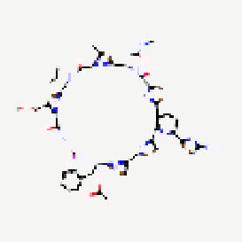 CNC(=O)C[C@@H]1NC(=O)c2csc(n2)-c2ccc(-c3nc(N)cs3)nc2-c2csc(n2)-c2csc(n2)[C@H]([C@@H](OC(C)=O)c2ccccc2)NC(=O)CNC(=O)c2nc(sc2COC)[C@@H](C(C)C)NC(=O)c2nc1sc2C